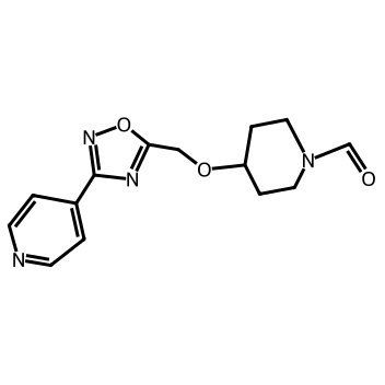 O=CN1CCC(OCc2nc(-c3ccncc3)no2)CC1